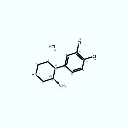 C[C@H]1CNCCN1c1ccc(Cl)c(Cl)c1.Cl